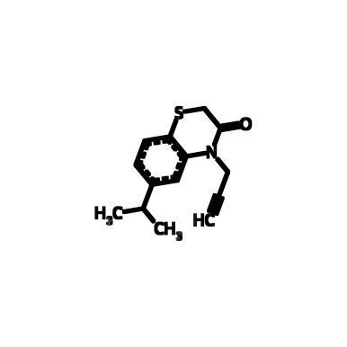 C#CCN1C(=O)CSc2ccc(C(C)C)cc21